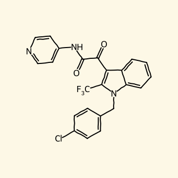 O=C(Nc1ccncc1)C(=O)c1c(C(F)(F)F)n(Cc2ccc(Cl)cc2)c2ccccc12